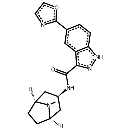 CN1[C@@H]2CC[C@H]1C[C@@H](NC(=O)c1n[nH]c3ccc(-c4ncco4)cc13)C2